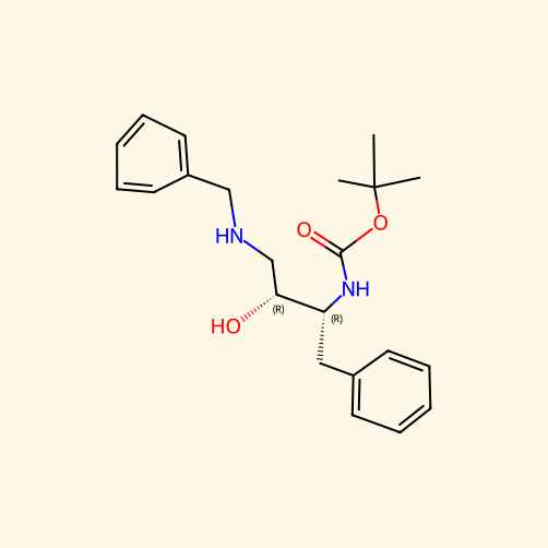 CC(C)(C)OC(=O)N[C@H](Cc1ccccc1)[C@H](O)CNCc1ccccc1